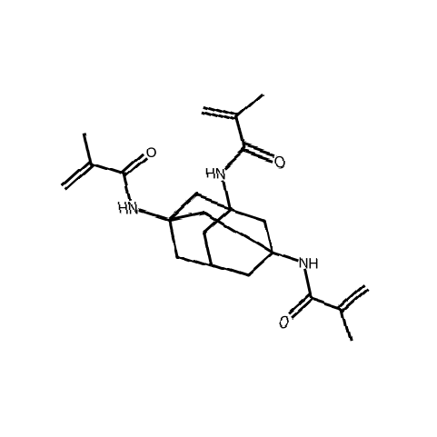 C=C(C)C(=O)NC12CC3CC(NC(=O)C(=C)C)(C1)CC(NC(=O)C(=C)C)(C3)C2